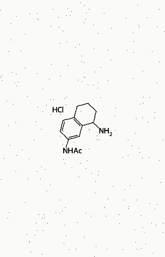 CC(=O)Nc1ccc2c(c1)C(N)CCC2.Cl